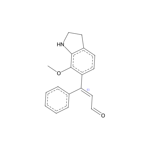 COc1c(/C(=C/C=O)c2ccccc2)ccc2c1NCC2